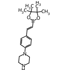 CC1(C)OB(C=Cc2ccc(N3CCNCC3)cc2)OC1(C)C